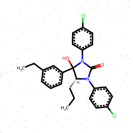 CCC[C@H]1N(c2ccc(Cl)cc2)C(=O)N(c2ccc(Cl)cc2)C1(O)c1cccc(CC)c1